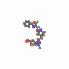 Cc1oc(-c2ccccc2)nc1COc1cc(COc2nn(C)cc2CC(=O)O)ccn1